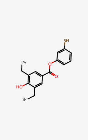 CC(C)Cc1cc(C(=O)Oc2cccc(S)c2)cc(CC(C)C)c1O